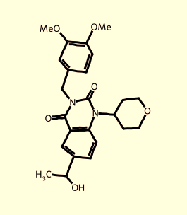 COc1ccc(Cn2c(=O)c3cc(C(C)O)ccc3n(C3CCOCC3)c2=O)cc1OC